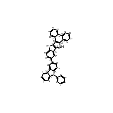 c1ccc(-n2c3ccccc3c3cc(-c4ccc5sc6c([nH]c7c8ccccc8c8ccccc8c76)c5c4)ccc32)cc1